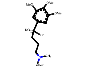 CCCCCCN(C)CCC[C@@](C#N)(c1cc(OC)c(OC)c(OC)c1)C(C)C